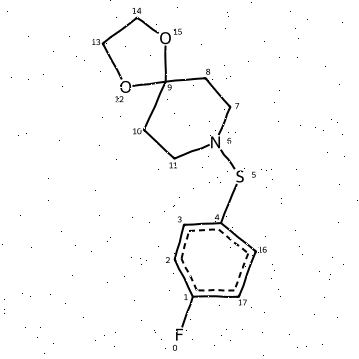 Fc1ccc(SN2CCC3(CC2)OCCO3)cc1